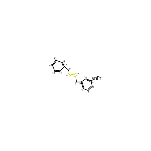 CCCc1cccc(CSSCc2ccccc2)c1